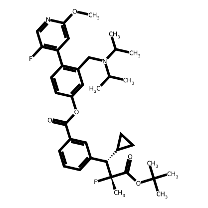 COc1cc(-c2ccc(OC(=O)c3cccc([C@H](C4CC4)[C@@](C)(F)C(=O)OC(C)(C)C)c3)cc2CN(C(C)C)C(C)C)c(F)cn1